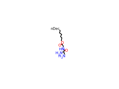 CCCCCCCCCCCCCCCCOC(=O)CNC(=O)[C@@H](N)CN